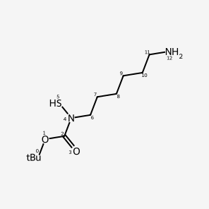 CC(C)(C)OC(=O)N(S)CCCCCCN